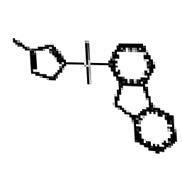 CC1=CCC([Si](C)(C)c2cccc3c2Cc2ccccc2-3)=C1